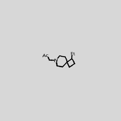 CCC1CCC12CCN(CC(C)=O)CC2